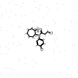 O=C(CCCl)N(c1ccc(Cl)cc1)C1CCCCCC1O